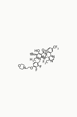 Cc1c(-c2cc(C(F)(F)F)ccc2NC(=O)C2=C(O)[C@H](C(C)(C)C)N(C)N(Cc3ccc(OCCN4CCOCC4)c(F)c3F)C2=O)ncnc1C(F)(F)F